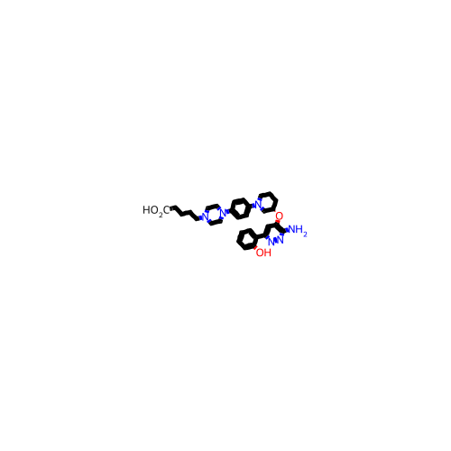 Nc1nnc(-c2ccccc2O)cc1O[C@H]1CCCN(c2ccc(N3CCN(CCCCC(=O)O)CC3)cc2)C1